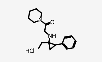 CCC1(NCC(=O)N2CCCCC2)CC1c1ccccc1.Cl